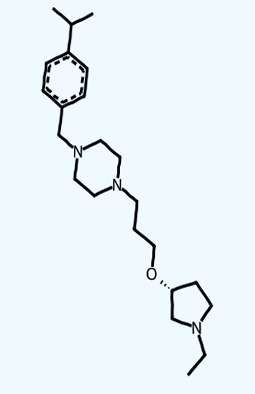 CCN1CC[C@@H](OCCCN2CCN(Cc3ccc(C(C)C)cc3)CC2)C1